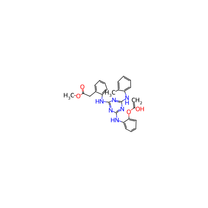 C=C(O)Oc1ccccc1Nc1nc(Nc2ccccc2C)nc(Nc2ccccc2CC(=O)OC)n1